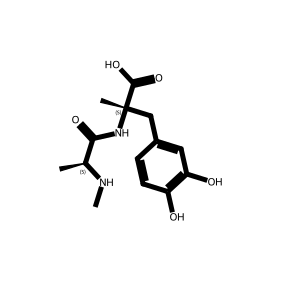 CN[C@@H](C)C(=O)N[C@@](C)(Cc1ccc(O)c(O)c1)C(=O)O